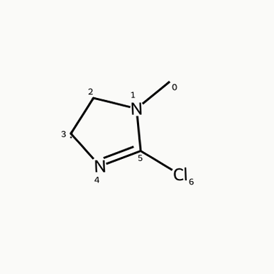 CN1C[CH]N=C1Cl